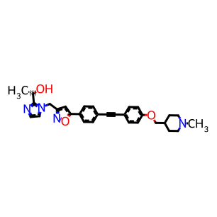 C[C@H](O)c1nccn1Cc1cc(-c2ccc(C#Cc3ccc(OCC4CCN(C)CC4)cc3)cc2)on1